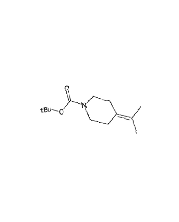 CC(C)=C1CCN(C(=O)OC(C)(C)C)CC1